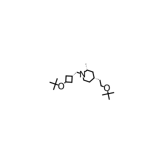 C[C@@H]1C[C@H](CCOC(C)(C)C)CCN1C[C@H]1C[C@H](OC(C)(C)C)C1